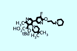 Cc1ncc(-c2cnc(OCCCN3CCCCC3)c(F)c2)c(N2CCC(C)(C)CC2)c1[C@H](OC(C)(C)C)C(=O)O